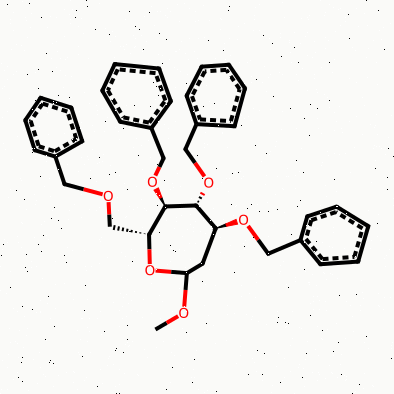 COC1C[C@H](OCc2ccccc2)[C@@H](OCc2ccccc2)[C@H](OCc2ccccc2)[C@@H](COCc2ccccc2)O1